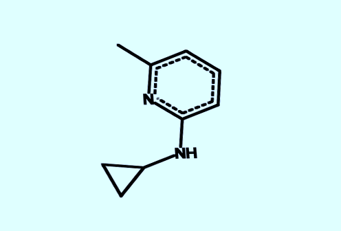 Cc1cccc(NC2CC2)n1